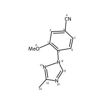 COc1cc(C#N)ccc1-n1cnc(C)n1